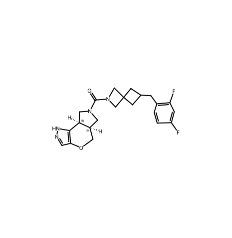 O=C(N1C[C@H]2COc3cn[nH]c3[C@H]2C1)N1CC2(CC(Cc3ccc(F)cc3F)C2)C1